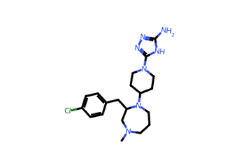 CN1CCCN(C2CCN(c3nnc(N)[nH]3)CC2)C(Cc2ccc(Cl)cc2)C1